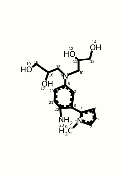 Cn1cccc1-c1cc(N(CC(O)CO)CC(O)CO)ccc1N